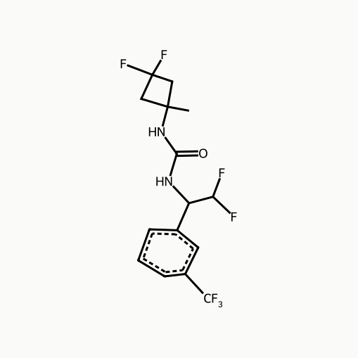 CC1(NC(=O)NC(c2cccc(C(F)(F)F)c2)C(F)F)CC(F)(F)C1